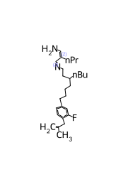 C=C(C)Cc1ccc(CCCCC(CCCC)CC/N=C\C(=C/N)CCC)cc1F